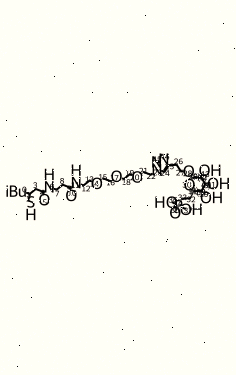 CCC(C)C(S)CC(=O)NCCC(=O)NCCOCCOCCOCCn1cc(CCO[C@H]2O[C@H](CCP(=O)(O)O)[C@@H](O)[C@H](O)[C@@H]2O)nn1